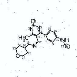 Cc1nc(Cl)nc(-c2ccc(NC=O)cc2)c1/C=N\CC1CCOCC1